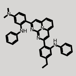 CCc1ccc(C2=CC3=CC=CC4=CC(c5ccc(N(C)C)cc5Nc5ccccc5)=NC(=N2)N34)c(Nc2ccccc2)c1